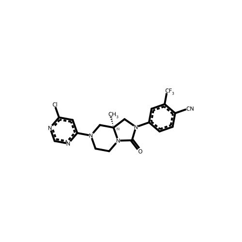 C[C@@]12CN(c3cc(Cl)ncn3)CCN1C(=O)N(c1ccc(C#N)c(C(F)(F)F)c1)C2